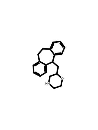 c1ccc2c(c1)CCc1ccccc1C2CC1CNCCO1